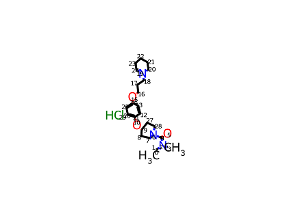 CCN(C)C(=O)N1CCC(Oc2ccc(OCCCN3CCCCC3)cc2)CC1.Cl